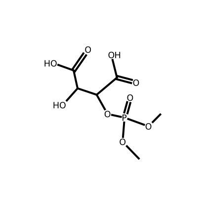 COP(=O)(OC)OC(C(=O)O)C(O)C(=O)O